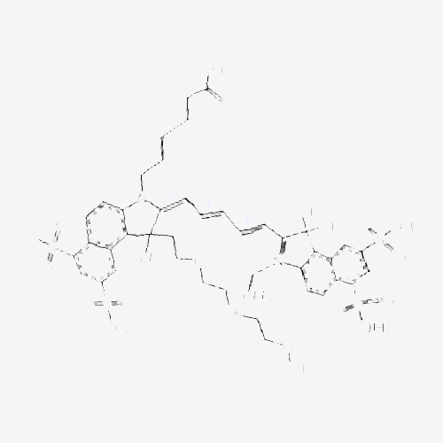 CC[N+]1=C(/C=C/C=C/C=C2/N(CCCCCC(=O)O)c3ccc4c(S(=O)(=O)[O-])cc(S(=O)(=O)O)cc4c3C2(C)CCOCCOCCOC)C(C)(C)c2c1ccc1c(S(=O)(=O)O)cc(S(=O)(=O)O)cc21